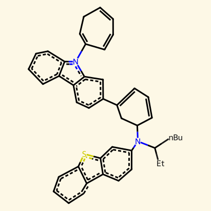 CCCCC(CC)N(c1ccc2c(c1)sc1ccccc12)C1C=CC=C(c2ccc3c4ccccc4n(C4=CCC=CC=C4)c3c2)C1